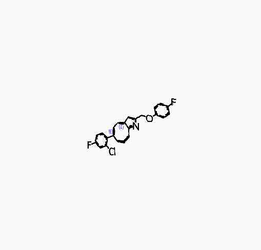 Fc1ccc(OCC2=C/C3=C/C=C(/c4ccc(F)cc4Cl)C=C=CC3=N2)cc1